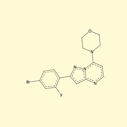 Fc1cc(Br)ccc1-c1cc2n[c]cc(N3CCOCC3)n2n1